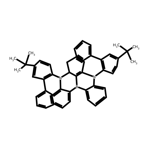 CC(C)(C)c1ccc(N2C3=C4B(c5ccccc52)c2ccccc2N(c2ccc(C(C)(C)C)cc2-c2ccccc2)C4CC=C3)c(-c2ccccc2)c1